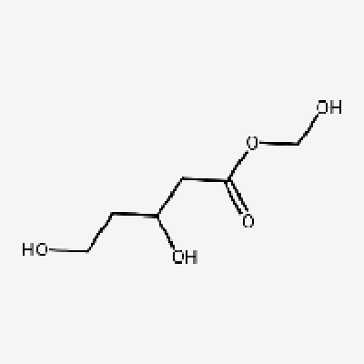 O=C(CC(O)CCO)OCO